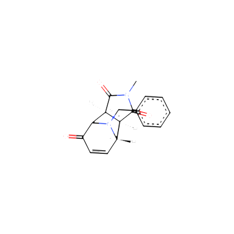 CN1C(=O)[C@@H]2[C@H](C1=O)C1C(=O)C=C[C@@H]2N1Cc1ccccc1